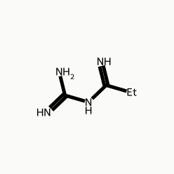 CCC(=N)NC(=N)N